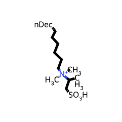 CCCCCCCCCCCCCCCC[N+](C)(C)C(C)CS(=O)(=O)O